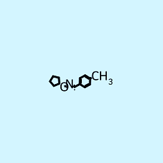 Cc1ccc(/[C]=N/OC2CCCC2)cc1